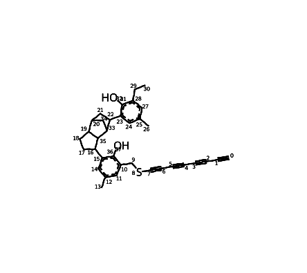 C#CC#CC#CC#CSCc1cc(C)cc(C2CCC3C4CC(c5cc(C)cc(CC)c5O)C(C4)C23)c1O